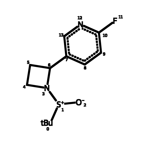 CC(C)(C)[S+]([O-])N1CCC1c1ccc(F)nc1